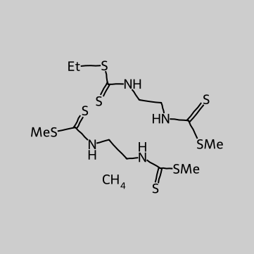 C.CCSC(=S)NCCNC(=S)SC.CSC(=S)NCCNC(=S)SC